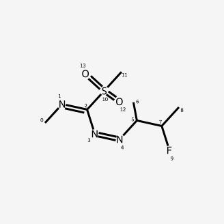 C/N=C(\N=N/C(C)C(C)F)S(C)(=O)=O